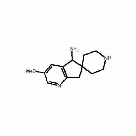 COc1cnc2c(c1)C(N)C1(CCNCC1)C2